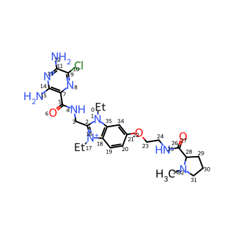 CCn1c(CNC(=O)c2nc(Cl)c(N)nc2N)[n+](CC)c2ccc(OCCNC(=O)C3CCCN3C)cc21